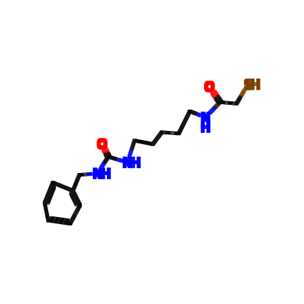 O=C(CS)NCCCCCNC(=O)NCc1ccccc1